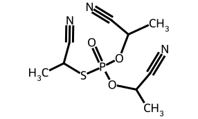 CC(C#N)OP(=O)(OC(C)C#N)SC(C)C#N